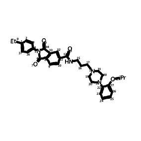 CCc1ccc(N2C(=O)c3ccc(C(=O)NCCCN4CCN(c5ccccc5OC(C)C)CC4)cc3C2=O)cc1